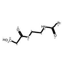 CC(C)C(=O)NCCSC(=O)CC(=O)O